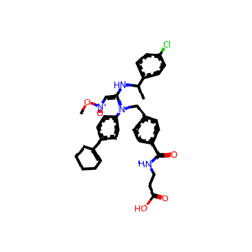 CO[N+](=O)/C=C(/NC(C)c1ccc(Cl)cc1)N(Cc1ccc(C(=O)NCCC(=O)O)cc1)c1ccc(C2=CCCCC2)cc1